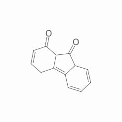 O=C1C=CCC2=C3C=CC=CC3C(=O)C12